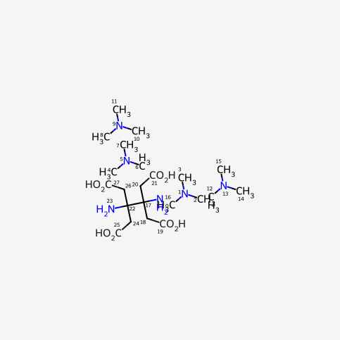 CN(C)C.CN(C)C.CN(C)C.CN(C)C.NC(CC(=O)O)(CC(=O)O)C(N)(CC(=O)O)CC(=O)O